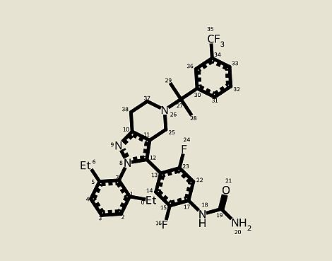 CCc1cccc(CC)c1-n1nc2c(c1-c1cc(F)c(NC(N)=O)cc1F)CN(C(C)(C)c1cccc(C(F)(F)F)c1)CC2